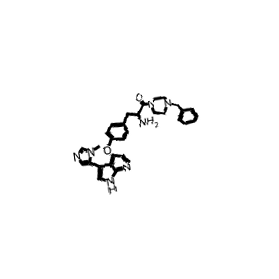 Cn1cncc1-c1c[nH]c2nccc(Oc3ccc(CC(N)C(=O)N4CCN(Cc5ccccc5)CC4)cc3)c12